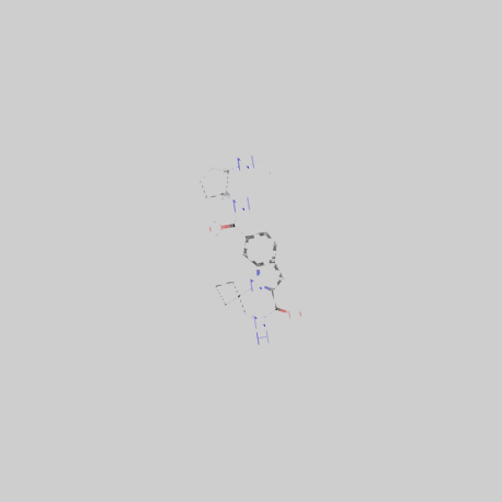 N[C@H]1CCC[C@H]1NC(=O)c1ccc2cc3n(c2c1)C1(CCC1)CNC3=O